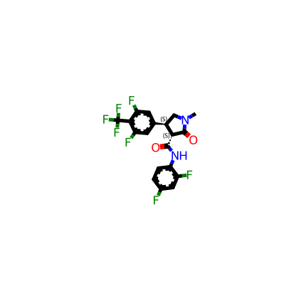 CN1C[C@H](c2cc(F)c(C(F)(F)F)c(F)c2)[C@@H](C(=O)Nc2ccc(F)cc2F)C1=O